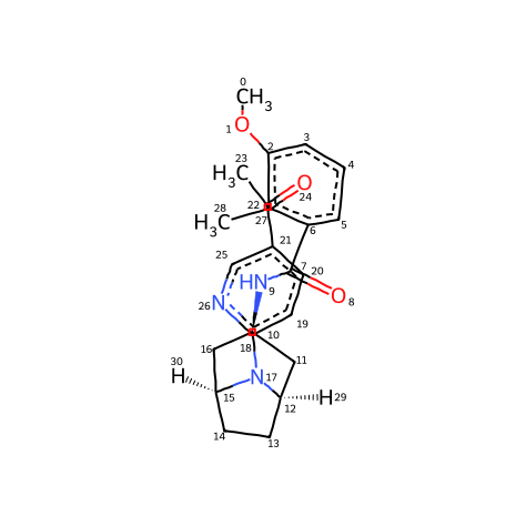 COc1cccc(C(=O)N[C@H]2C[C@H]3CC[C@@H](C2)N3c2ccc(C(C)=O)cn2)c1C